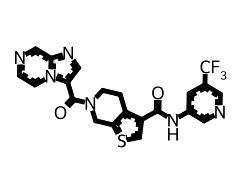 O=C(Nc1cncc(C(F)(F)F)c1)c1csc2c1CCN(C(=O)c1cnc3cnccn13)C2